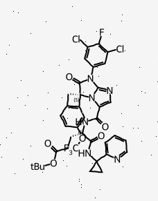 CC(C)(C)OC(=O)CC[C@H](NC(=O)c1cnc2n1[C@]1(Cc3ccc(OC(F)(F)F)cc31)C(=O)N2c1cc(Cl)c(F)c(Cl)c1)C(=O)NC1(c2ccccn2)CC1